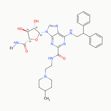 CCNC(=O)[C@H]1O[C@@H](n2cnc3c(NCC(c4ccccc4)c4ccccc4)nc(C(=O)NCCN4CCC(C)CC4)nc32)[C@@H](O)[C@@H]1O